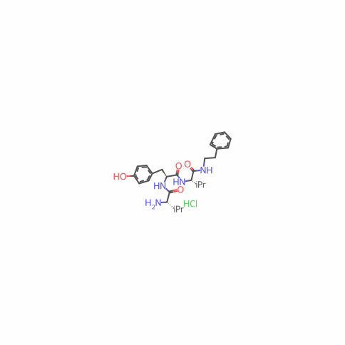 CC(C)[C@H](N)C(=O)N[C@@H](Cc1ccc(O)cc1)C(=O)N[C@H](C(=O)NCCc1ccccc1)C(C)C.Cl